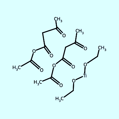 CC(=O)CC(=O)OC(C)=O.CC(=O)CC(=O)OC(C)=O.CC[O][Ti][O]CC